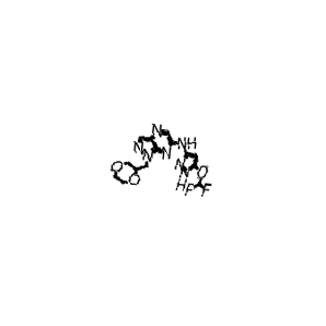 FC(F)Oc1cc(Nc2cnc3cnn(CC4COCCO4)c3n2)n[nH]1